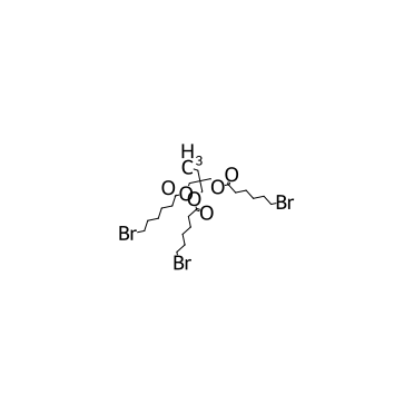 CCC(COC(=O)CCCCCBr)(COC(=O)CCCCCBr)COC(=O)CCCCCBr